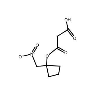 O=C(O)CC(=O)OC1(C[N+](=O)[O-])CCC1